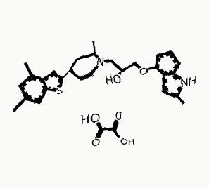 Cc1cc(C)c2cc([C@@H]3CCN(C[C@H](O)COc4cccc5[nH]c(C)cc45)[C@H](C)C3)sc2c1.O=C(O)C(=O)O